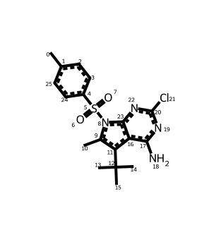 Cc1ccc(S(=O)(=O)n2c(C)c(C(C)(C)C)c3c(N)nc(Cl)nc32)cc1